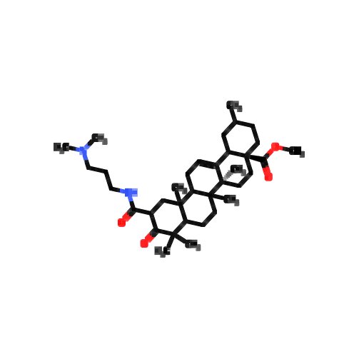 COC(=O)[C@]12CCC(C)CC1C1=CCC3C4(C)CC(C(=O)NCCCN(C)C)C(=O)C(C)(C)C4CCC3(C)[C@]1(C)CC2